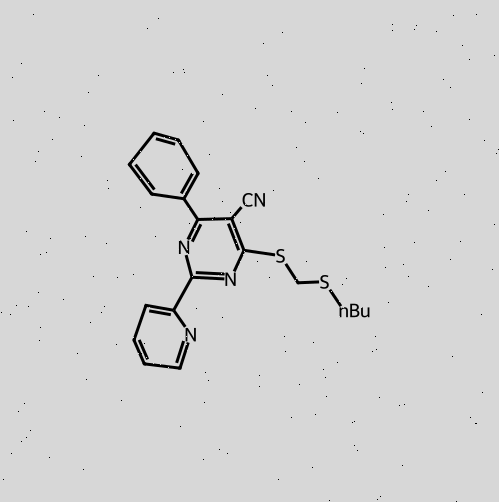 CCCCSCSc1nc(-c2ccccn2)nc(-c2ccccc2)c1C#N